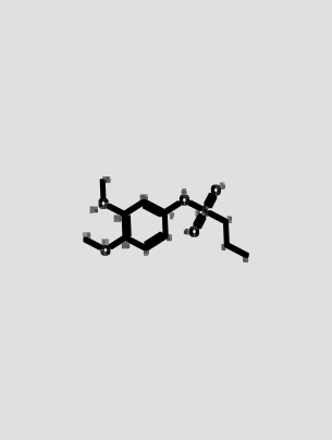 CCCS(=O)(=O)Oc1ccc(OC)c(OC)c1